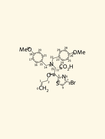 C=CCO[C@H](c1nc(Br)cs1)[C@@H](C(=O)O)N(Cc1ccc(OC)cc1)Cc1ccc(OC)cc1